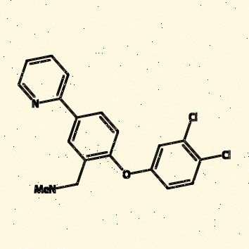 CNCc1cc(-c2ccccn2)ccc1Oc1ccc(Cl)c(Cl)c1